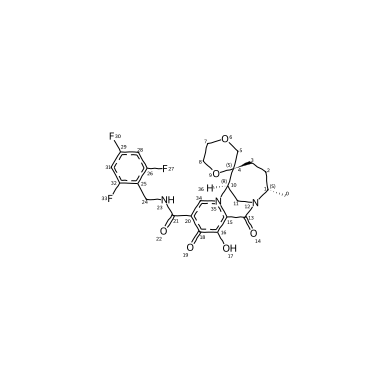 C[C@H]1CC[C@@]2(COCCO2)[C@H]2CN1C(=O)c1c(O)c(=O)c(C(=O)NCc3c(F)cc(F)cc3F)cn12